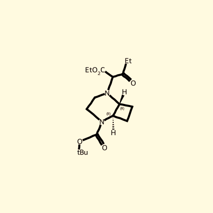 CCOC(=O)C(C(=O)CC)N1CCN(C(=O)OC(C)(C)C)[C@@H]2CC[C@H]21